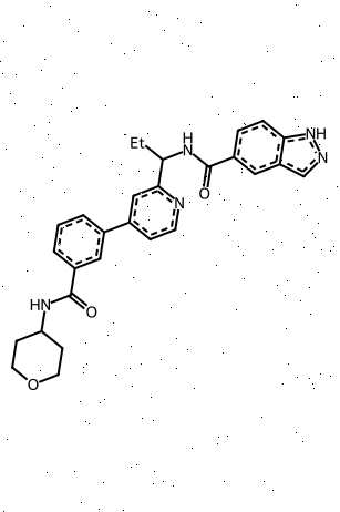 CCC(NC(=O)c1ccc2[nH]ncc2c1)c1cc(-c2cccc(C(=O)NC3CCOCC3)c2)ccn1